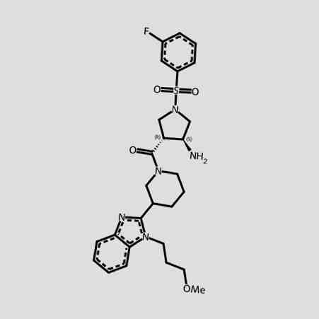 COCCCn1c(C2CCCN(C(=O)[C@@H]3CN(S(=O)(=O)c4cccc(F)c4)C[C@H]3N)C2)nc2ccccc21